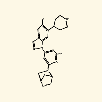 Cc1nc(N2CC3CC2CO3)cc(-n2ncc3cc(C)c(C4CCNCC4)cc32)n1